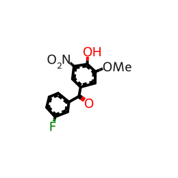 COc1cc(C(=O)c2cccc(F)c2)cc([N+](=O)[O-])c1O